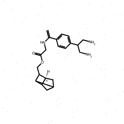 C=C(NCC(=O)OCC1C2C3CC2[C@@H]1C3)c1ccc(C(CN)CN)cc1